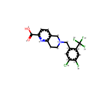 O=C(O)c1ccc2c(n1)CCN(Cc1cc(Cl)c(F)cc1C(F)(F)F)C2